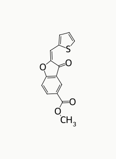 COC(=O)c1ccc2c(c1)C(=O)C(=Cc1cccs1)O2